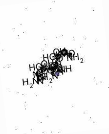 N=N/C=N/N.NC(=O)C1=CN([C@@H]2O[C@H](COP(=O)(O)OP(=O)(O)OC[C@H]3O[C@@H](n4cnc5c(N)ncnc54)[C@H](O)[C@@H]3O)[C@@H](O)[C@H]2O)C=CC1